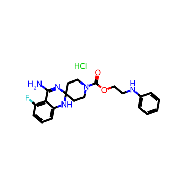 Cl.NC1=NC2(CCN(C(=O)OCCNc3ccccc3)CC2)Nc2cccc(F)c21